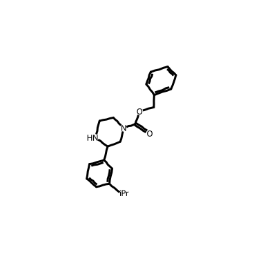 CC(C)c1cccc(C2CN(C(=O)OCc3ccccc3)CCN2)c1